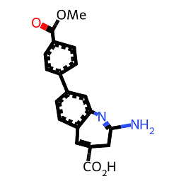 COC(=O)c1ccc(-c2ccc3c(c2)N=C(N)CC(C(=O)O)=C3)cc1